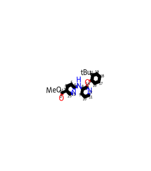 COC(=O)c1ccc(Nc2cccnc2Oc2ccccc2C(C)(C)C)nc1